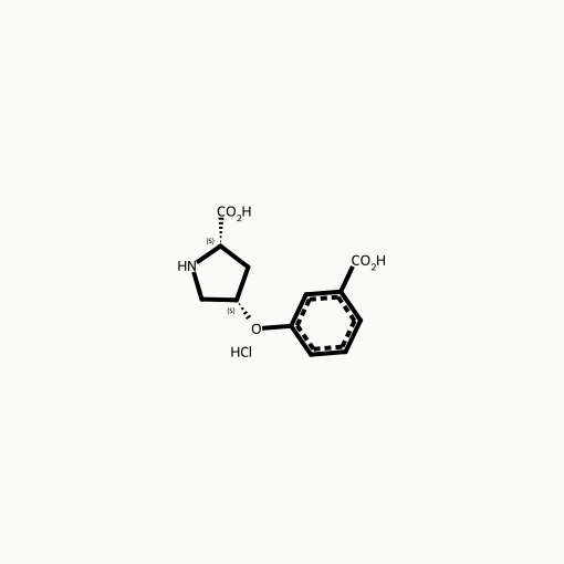 Cl.O=C(O)c1cccc(O[C@@H]2CN[C@H](C(=O)O)C2)c1